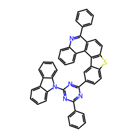 c1ccc(-c2nc(-c3ccc4sc5ccc6c(-c7ccccc7)nc7ccccc7c6c5c4c3)nc(-n3c4ccccc4c4ccccc43)n2)cc1